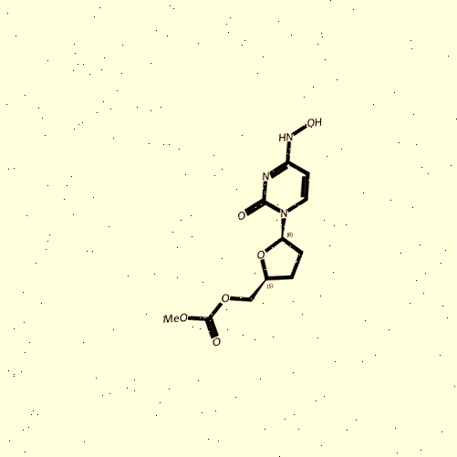 COC(=O)OC[C@@H]1CC[C@H](n2ccc(NO)nc2=O)O1